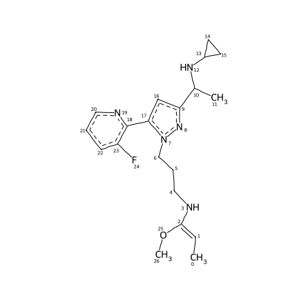 CC=C(NCCCn1nc(C(C)NC2CC2)cc1-c1ncccc1F)OC